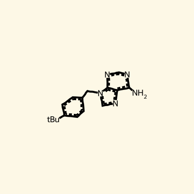 CC(C)(C)c1ccc(Cn2cnc3c(N)ncnc32)cc1